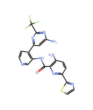 Nc1cc(-c2ccncc2NC(=O)c2nc(-c3nccs3)ccc2N)nc(C(F)(F)F)n1